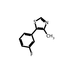 Cc1ncsc1-c1cccc(F)c1